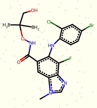 BC(B)(CO)ONC(=O)c1cc2c(ncn2C)c(F)c1Nc1ccc(Br)cc1Cl